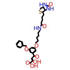 O=C(CCCCC1SCC2NC(=O)NC21)NCCCCCCOc1cc(OCc2ccccc2)cc(C(=O)C=C(O)C(=O)O)c1